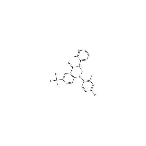 Cc1cc(F)ccc1N1CN(c2cccnc2C)C(=O)c2cc(C(F)(F)F)ccc21